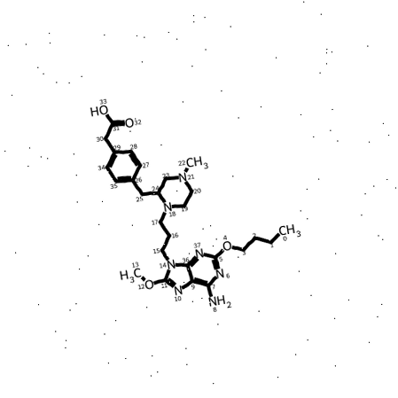 CCCCOc1nc(N)c2nc(OC)n(CCCN3CCN(C)CC3Cc3ccc(CC(=O)O)cc3)c2n1